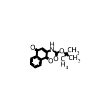 CC(C)(C)OC(=O)NC1=CC(=O)c2ccccc2C1=O